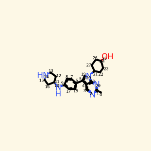 Cc1ncc2c(-c3ccc(NC4CCNCC4)cc3)cn(C3CCC(O)CC3)c2n1